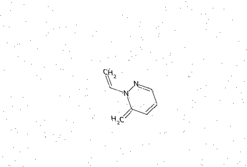 C=CN1N=CC=CC1=C